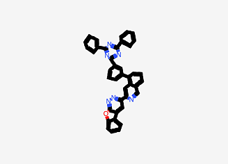 c1ccc(-c2nc(-c3ccccc3)nc(-c3cccc(-c4cccc5cnc(-c6cc7c(nn6)oc6ccccc67)cc45)c3)n2)cc1